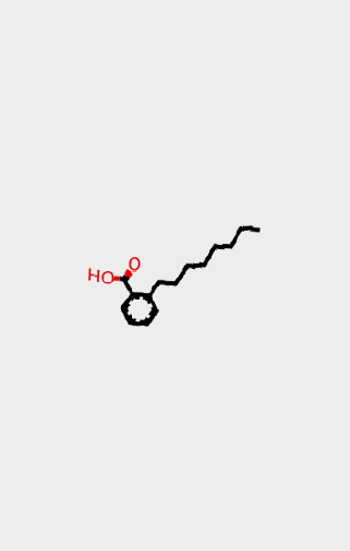 CCCCCCCCc1ccccc1C(=O)O